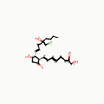 CCCCC(O)(CCl)C/C=C/[C@H]1[C@H](O)CC(=O)[C@@H]1CCCCCCC(=O)CO